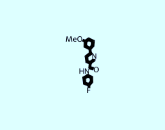 COc1cccc(-c2ccc(C(=O)Nc3ccc(F)cc3)cn2)c1